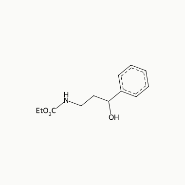 CCOC(=O)NCCC(O)c1ccccc1